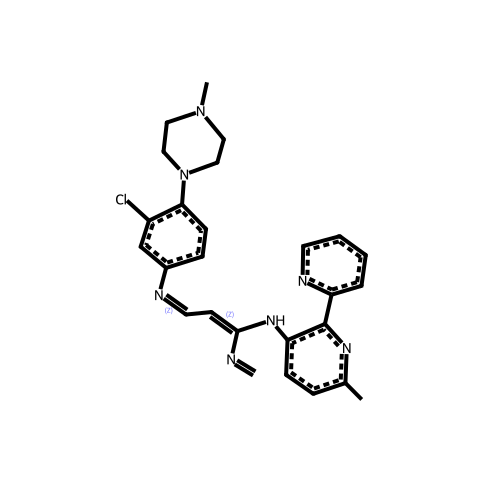 C=N/C(=C\C=N/c1ccc(N2CCN(C)CC2)c(Cl)c1)Nc1ccc(C)nc1-c1ccccn1